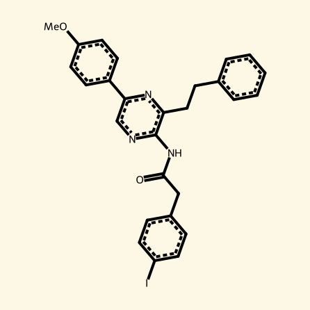 COc1ccc(-c2cnc(NC(=O)Cc3ccc(I)cc3)c(CCc3ccccc3)n2)cc1